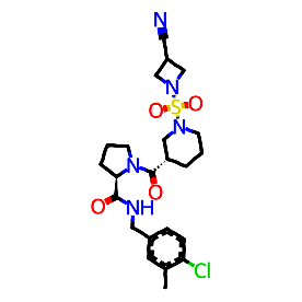 Cc1cc(CNC(=O)[C@H]2CCCN2C(=O)[C@H]2CCCN(S(=O)(=O)N3CC(C#N)C3)C2)ccc1Cl